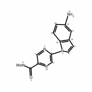 CNC(=O)c1cnc(-n2ccc3cc(N)ccc32)cn1